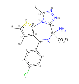 CCOC(=O)C1(N)N=C(c2ccc(Cl)cc2)c2c(sc(C)c2C)-n2c(C)nnc21